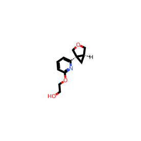 OCCOc1cccc([C@]23COC[C@H]2C3)n1